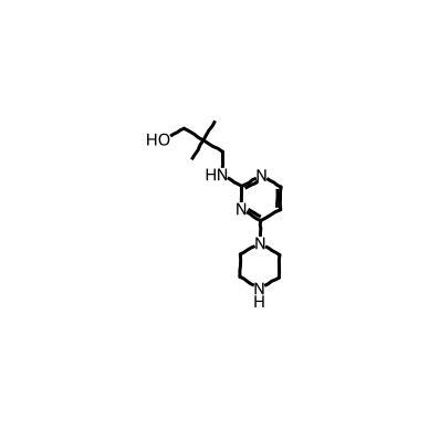 CC(C)(CO)CNc1nccc(N2CCNCC2)n1